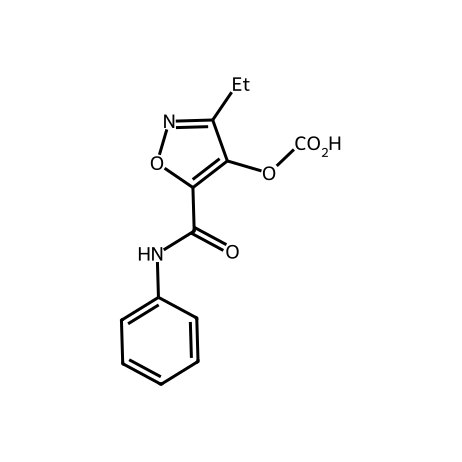 CCc1noc(C(=O)Nc2ccccc2)c1OC(=O)O